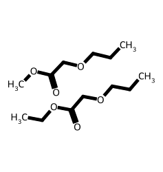 CCCOCC(=O)OC.CCCOCC(=O)OCC